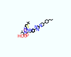 CCCC1CCC(C2CCN(c3cnc(-c4ccc(C[C@H](NC(=O)c5ccc(C(C)(C)C)s5)C(=O)N[C@@H](C(=O)O)C(C)C)cc4)nc3)CC2)CC1